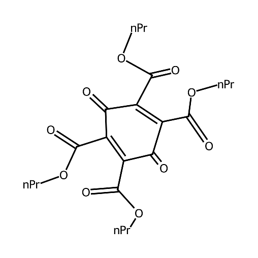 CCCOC(=O)C1=C(C(=O)OCCC)C(=O)C(C(=O)OCCC)=C(C(=O)OCCC)C1=O